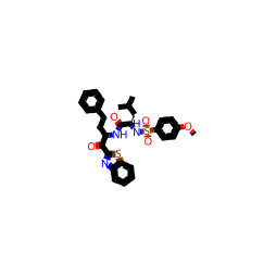 COc1ccc(S(=O)(=O)N[C@@H](CC(C)C)C(=O)NC(CCc2ccccc2)C(=O)c2nc3ccccc3s2)cc1